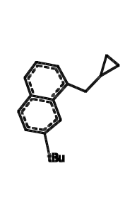 CC(C)(C)c1ccc2cccc(CC3CC3)c2c1